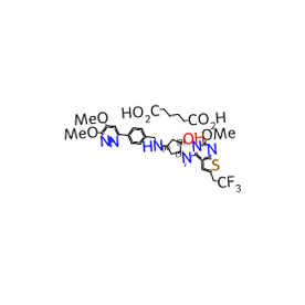 COc1nc(N(C)[C@H]2C[C@@H](NCc3ccc(-c4cc(OC)c(OC)nn4)cc3)C[C@H]2O)c2cc(CC(F)(F)F)sc2n1.O=C(O)CCCCC(=O)O